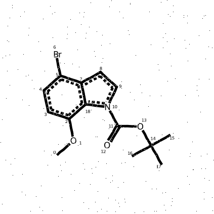 COc1ccc(Br)c2ccn(C(=O)OC(C)(C)C)c12